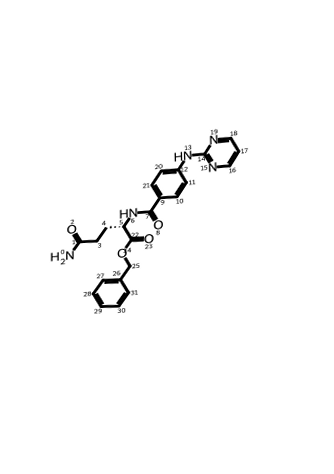 NC(=O)CC[C@H](NC(=O)c1ccc(Nc2ncccn2)cc1)C(=O)OCc1ccccc1